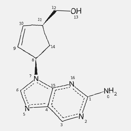 Nc1ncc2ncn([C@H]3C=C[C@@H](CO)C3)c2n1